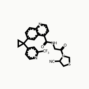 N#CC1CSCN1C(=O)CNC(=O)c1ccnc2ccc(C3(c4ccnc(C(F)(F)F)c4)CC3)cc12